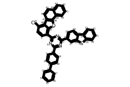 Clc1ccc(-c2nc(-c3ccc(-c4ccccc4)cc3)nc(-c3ccc4c(c3)sc3ccccc34)n2)c2oc3c4ccccc4ccc3c12